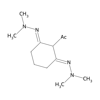 CC(=O)C1C(=NN(C)C)CCCC1=NN(C)C